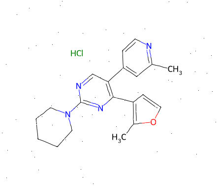 Cc1cc(-c2cnc(N3CCCCC3)nc2-c2ccoc2C)ccn1.Cl